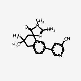 CN1C(=O)C2(CC(C)(C)Cc3ccc(-c4cncc(C#N)c4)cc32)N=C1N